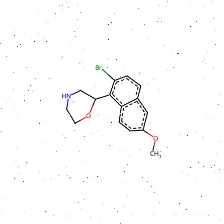 COc1ccc2c(C3CNCCO3)c(Br)ccc2c1